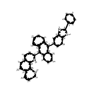 c1ccc(-c2nc3cc(-c4c5ccccc5c(-c5ccc6ccc7cccnc7c6n5)c5ccccc45)ccc3s2)cc1